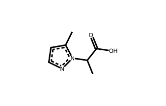 Cc1ccnn1C(C)C(=O)O